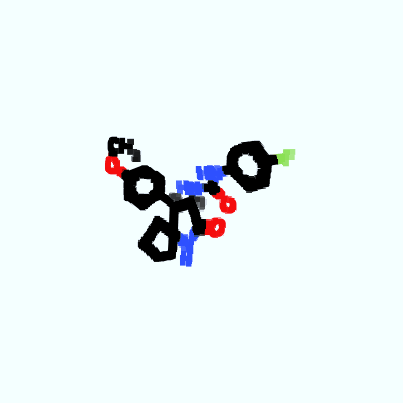 COc1ccc([C@H]2[C@H](NC(=O)Nc3ccc(F)cc3)C(=O)NC23CCCC3)cc1